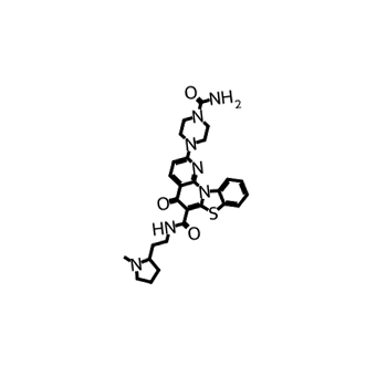 CN1CCCC1CCNC(=O)c1c(=O)c2ccc(N3CCN(C(N)=O)CC3)nc2n2c1sc1ccccc12